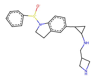 [O-][S+](c1ccccc1)N1CCc2cc(C3CC3NCC3CNC3)ccc21